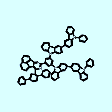 c1ccc(-c2ccc(-c3ccccc3)c(-c3nc(-c4cc(-n5c6ccccc6c6cc(-c7ccc8c(c7)c7ccccc7n8-c7ccccc7)ccc65)cc(-n5c6ccccc6c6cc(-c7ccc8c(c7)c7ccccc7n8-c7ccccc7)ccc65)c4)nc4c3-c3cccc5cccc-4c35)c2)cc1